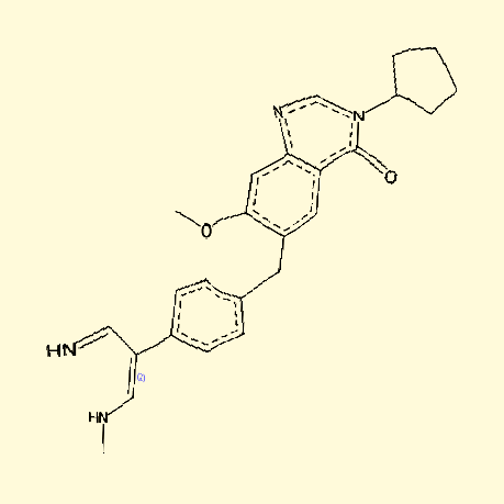 CN/C=C(\C=N)c1ccc(Cc2cc3c(=O)n(C4CCCC4)cnc3cc2OC)cc1